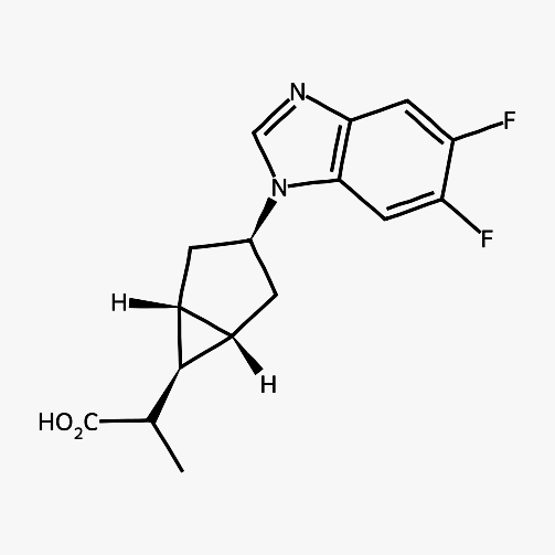 CC(C(=O)O)[C@H]1[C@@H]2C[C@@H](n3cnc4cc(F)c(F)cc43)C[C@@H]21